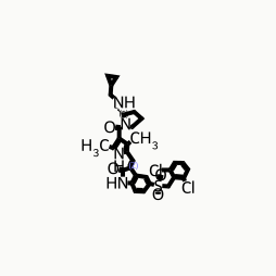 Cc1[nH]c(/C=C2\C(=O)Nc3ccc(S(=O)(=O)Cc4c(Cl)cccc4Cl)cc32)c(C)c1C(=O)N1CCC[C@H]1CNCC1CC1